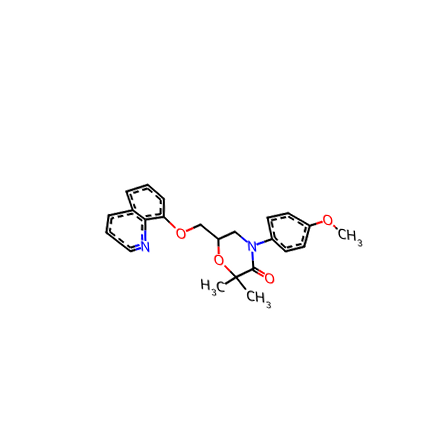 COc1ccc(N2CC(COc3cccc4cccnc34)OC(C)(C)C2=O)cc1